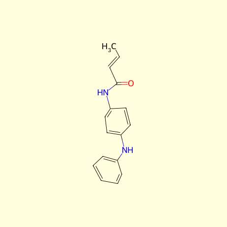 C/C=C/C(=O)Nc1ccc(Nc2ccccc2)cc1